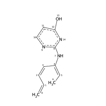 C=C/C=C\C(=C/C)Nc1nccc(O)n1